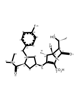 C[C@@H](O)[C@H]1C(=O)N2C(C(=O)O)=C(S[C@H]3C[C@@H](C(=O)N(C)C)N(Cc4ccc(F)cc4)C3)[C@H](C)[C@H]12